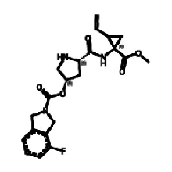 C=CC1C[C@]1(NC(=O)[C@@H]1C[C@@H](OC(=O)N2Cc3cccc(F)c3C2)CN1)C(=O)OC